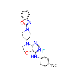 [C-]#[N+]c1ccc(Nc2ncnc3c2OCCN3C2CCN(c3nc4ccccc4o3)CC2)c(F)c1